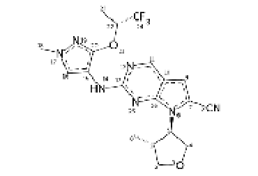 C[C@H]1COC[C@@H]1n1c(C#N)cc2cnc(Nc3cn(C)nc3O[C@H](C)C(F)(F)F)nc21